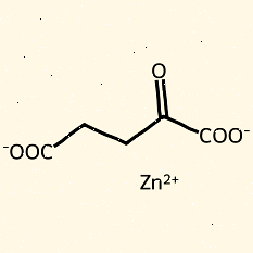 O=C([O-])CCC(=O)C(=O)[O-].[Zn+2]